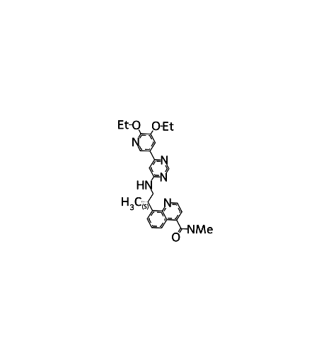 CCOc1cc(-c2cc(NC[C@@H](C)c3cccc4c(C(=O)NC)ccnc34)ncn2)cnc1OCC